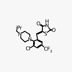 CC(C)CN1CCN(c2c(Cl)cc(C(F)(F)F)cc2/C=C2\SC(=O)NC2=O)CC1